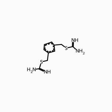 N=C(N)SCc1cccc(CSC(=N)N)c1